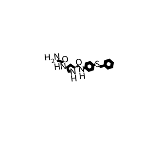 NCC(=O)N[C@H]1CN[C@H](C(=O)Nc2ccc(SCc3ccccc3)cc2)C1